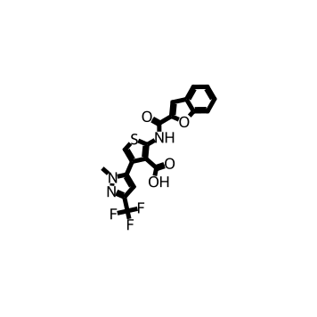 Cn1nc(C(F)(F)F)cc1-c1csc(NC(=O)c2cc3ccccc3o2)c1C(=O)O